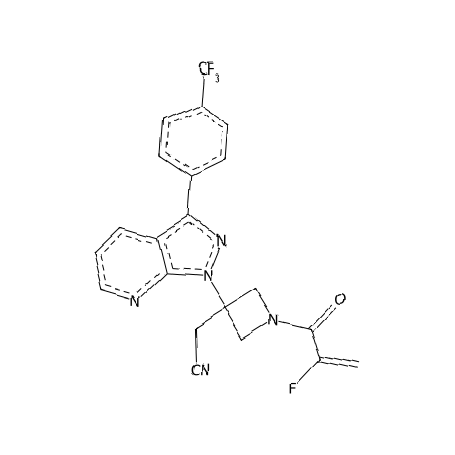 C=C(F)C(=O)N1CC(CC#N)(n2nc(-c3ccc(C(F)(F)F)cc3)c3cccnc32)C1